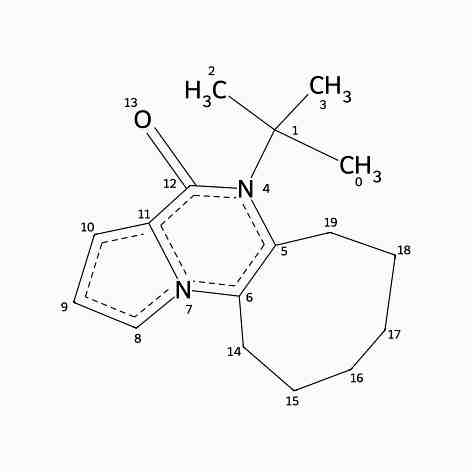 CC(C)(C)n1c2c(n3cccc3c1=O)CCCCCC2